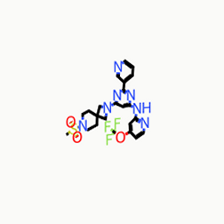 CS(=O)(=O)N1CCC2(CC1)CN(c1cc(Nc3cc(OC(F)(F)F)ccn3)nc(-c3cccnc3)n1)C2